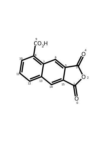 O=C1OC(=O)c2cc3c(C(=O)O)cccc3cc21